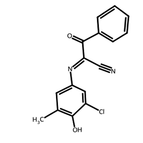 Cc1cc(/N=C(\C#N)C(=O)c2ccccc2)cc(Cl)c1O